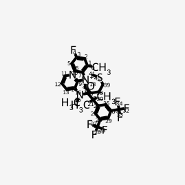 Cc1cc(F)ccc1[N+]1(c2ncccc2N(C)C(=O)C(C)(C)c2cc(C(F)(F)F)cc(C(F)(F)F)c2)CCCCSC1